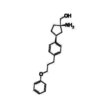 N[C@]1(CO)CC[C@H](c2ccc(CCCOc3ccccc3)cc2)C1